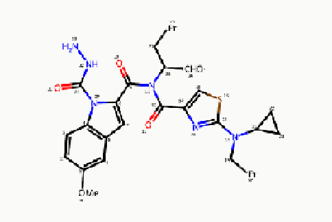 COc1ccc2c(c1)cc(C(=O)N(C(=O)c1csc(N(CC(C)C)C3CC3)n1)[C@H]([C]=O)CC(C)C)n2C(=O)NN